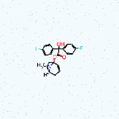 CN1[C@@H]2CC=C[C@@]1(OC(=O)C(O)(c1ccc(F)cc1)c1ccc(F)cc1)CC2